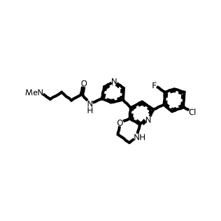 CNCCCC(=O)Nc1cncc(-c2cc(-c3cc(Cl)ccc3F)nc3c2OCCN3)c1